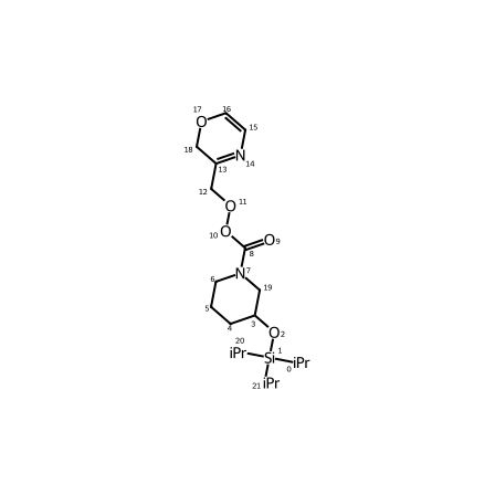 CC(C)[Si](OC1CCCN(C(=O)OOCC2=NC=COC2)C1)(C(C)C)C(C)C